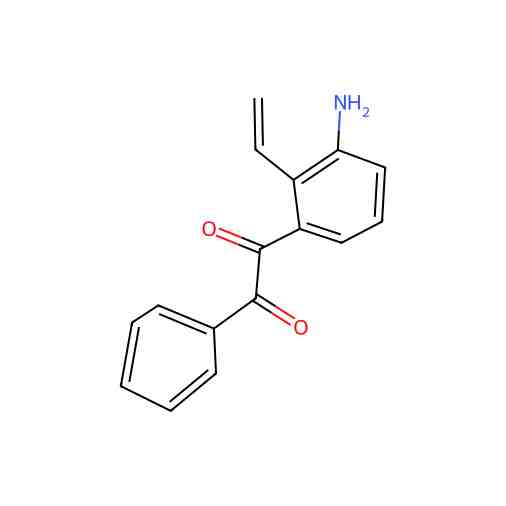 C=Cc1c(N)cccc1C(=O)C(=O)c1ccccc1